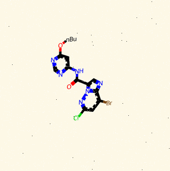 CCCCOc1cc(NC(=O)c2cnc3c(Br)cc(Cl)nn23)ncn1